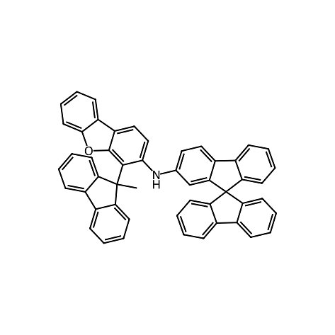 CC1(c2c(Nc3ccc4c(c3)C3(c5ccccc5-c5ccccc53)c3ccccc3-4)ccc3c2oc2ccccc23)c2ccccc2-c2ccccc21